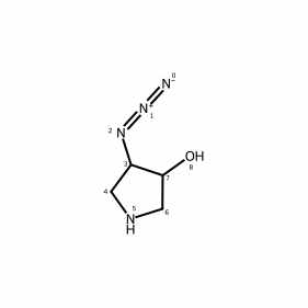 [N-]=[N+]=NC1CNCC1O